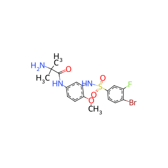 COc1ccc(NC(=O)C(C)(C)N)cc1NS(=O)(=O)c1ccc(Br)c(F)c1